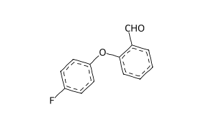 O=Cc1ccccc1Oc1ccc(F)cc1